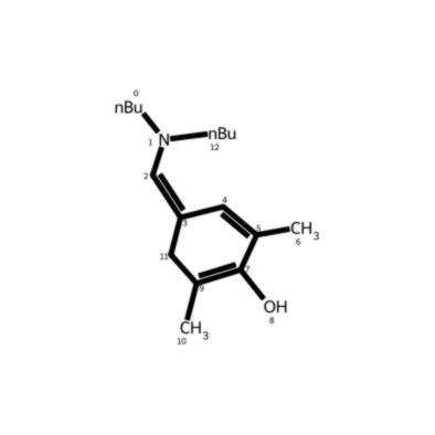 CCCCN(C=C1C=C(C)C(O)=C(C)C1)CCCC